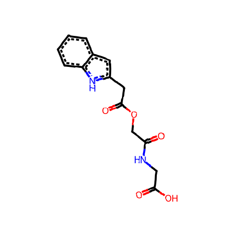 O=C(O)CNC(=O)COC(=O)Cc1cc2ccccc2[nH]1